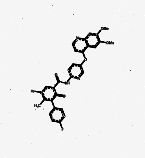 COc1cc2nccc(Oc3ccc(NC(=O)c4cn(C(C)C)c(C)c(-c5ccc(F)cc5)c4=O)nc3)c2cc1OC